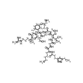 CCn1cc(CCC(=O)N[C@@H](CCCCN)C(=O)NCC(=O)N[C@H](C(=O)N[C@@H](CO)C(=O)N[C@@H](CCCCN)C(=O)N[C@@H](CO)C(=O)N[C@@H](Cc2ccc(O)cc2)C(=O)N[C@H](C)CCCNC(=N)N)C(C)C)nn1